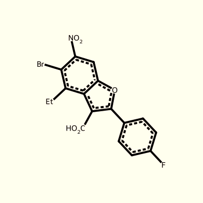 CCc1c(Br)c([N+](=O)[O-])cc2oc(-c3ccc(F)cc3)c(C(=O)O)c12